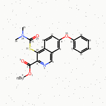 CCCCOC(=O)c1ncc2cc(Oc3ccccc3)ccc2c1SC(=O)N(C)C